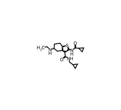 CCNC1CCc2sc(NC(=O)C3CC3)c(C(=O)NCC3CC3)c2C1